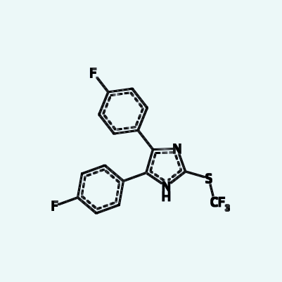 Fc1ccc(-c2nc(SC(F)(F)F)[nH]c2-c2ccc(F)cc2)cc1